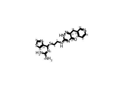 NC(N)=NC(SCCNc1nc(=O)c(Cc2cccnc2)n[nH]1)c1cscn1